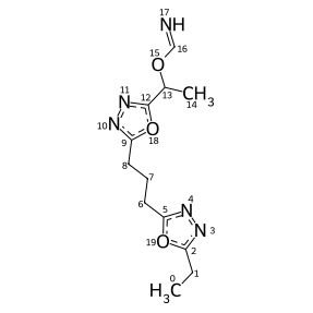 CCc1nnc(CCCc2nnc(C(C)OC=N)o2)o1